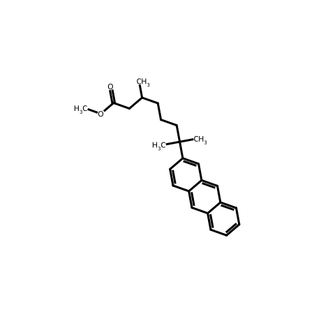 COC(=O)CC(C)CCCC(C)(C)c1ccc2cc3ccccc3cc2c1